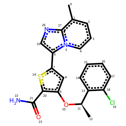 Cc1cccn2c(-c3cc(O[C@H](C)c4ccccc4Cl)c(C(N)=O)s3)cnc12